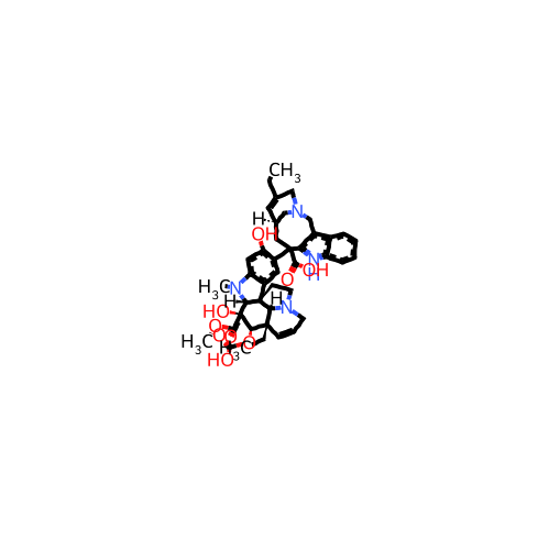 CCC1=C[C@H]2CN(C1)Cc1c([nH]c3ccccc13)C(C(=O)O)(c1cc3c(cc1O)N(C)[C@H]1[C@@](O)(C(=O)OC)[C@H](OC(=O)O)[C@@]4(CC)C=CCN5CC[C@]31[C@H]54)C2